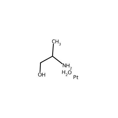 CC(N)CO.O.[Pt]